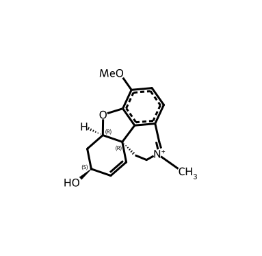 COc1ccc2c3c1O[C@@H]1C[C@H](O)C=C[C@]31CC[N+](C)=C2